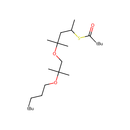 CC(CC(C)(C)OCC(C)(C)OCCCC(C)(C)C)SC(=O)C(C)(C)C